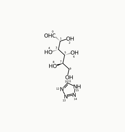 O=C[C@H](O)[C@@H](O)[C@H](O)[C@H](O)CO.c1nnn[nH]1